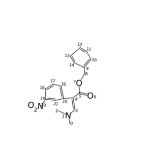 CN(C)C=C(C(=O)OCc1ccccc1)c1cccc([N+](=O)[O-])c1